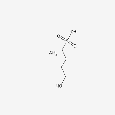 O=S(=O)(O)CCCCO.[AlH3]